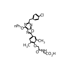 CCCOc1nc(Cc2ccc(Cl)cc2)nc2oc(-c3cc(C)c(OCC(=O)NCC(=O)O)c(C)c3)nc12